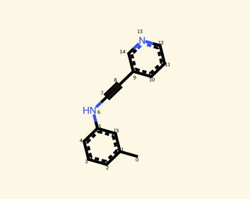 Cc1cccc(NC#Cc2cccnc2)c1